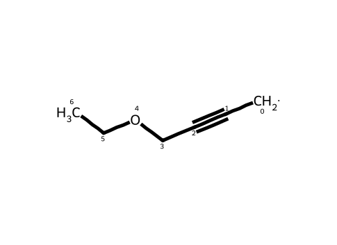 [CH2]C#CCOCC